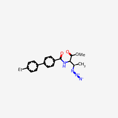 CCc1ccc(-c2ccc(C(=O)NC(C(=O)OC)[C@@H](C)N=[N+]=[N-])cc2)cc1